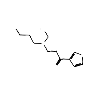 CCCCN(CO)CCC(=O)c1ccsc1